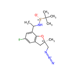 CC(N[S@+]([O-])C(C)(C)C)c1cc(F)cc2c1O[C@@](C)(CN=[N+]=[N-])C2